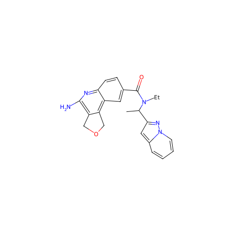 CCN(C(=O)c1ccc2nc(N)c3c(c2c1)COC3)C(C)c1cc2ccccn2n1